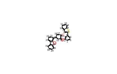 c1cc2c3c(c1)-c1sc4ccccc4c1B3c1ccc(-c3cccc4c3oc3ccccc34)cc1O2